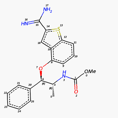 COC(=O)N[C@H](C)[C@H](Oc1cccc2sc(C(=N)N)cc12)c1ccccc1